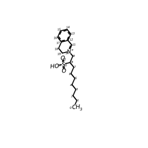 CCCCCCCCC(C[N+]1=Cc2ccccc2CC1)S(=O)(=O)O